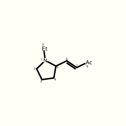 CCN1CCCC1/C=C/C(C)=O